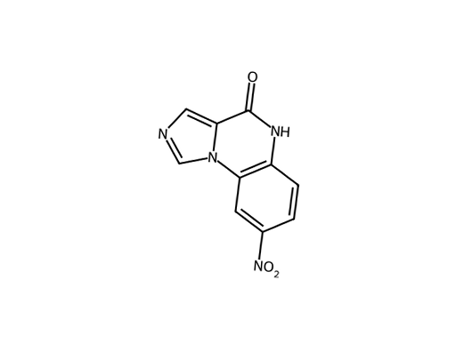 O=c1[nH]c2ccc([N+](=O)[O-])cc2n2cncc12